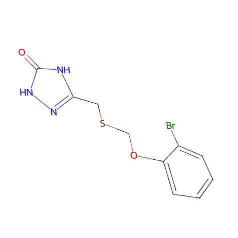 O=c1[nH]nc(CSCOc2ccccc2Br)[nH]1